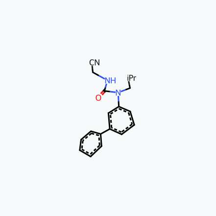 CC(C)CN(C(=O)NCC#N)c1cccc(-c2ccccc2)c1